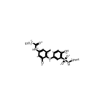 CCCCCNS(=O)(=O)c1cc(Oc2c(C)cc(NC(=O)C(=O)OCC)cc2Cl)ccc1O